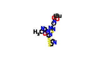 Cc1ncccc1Oc1cc(Sc2ccnc3ccsc23)cnc1Nc1nc(C2CCN(C(=O)OC(C)(C)C)CC2)ns1